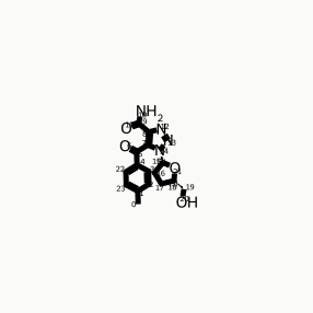 Cc1ccc(C(=O)c2c(C(N)=O)nnn2[C@H]2CC[C@@H](CO)O2)cc1